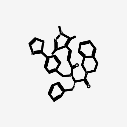 Cc1nn(C)c(C)c1C=CC(=O)N(Cc1ccc(-c2nccs2)cc1)[C@@H](Cc1ccccc1)C(=O)N1CCc2ccccc2C1